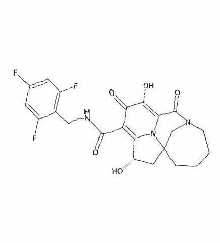 O=C(NCc1c(F)cc(F)cc1F)c1c2n3c(c(O)c1=O)C(=O)N1CCCCC3(C[C@@H]2O)C1